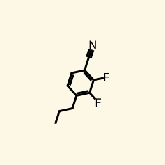 CCCc1ccc(C#N)c(F)c1F